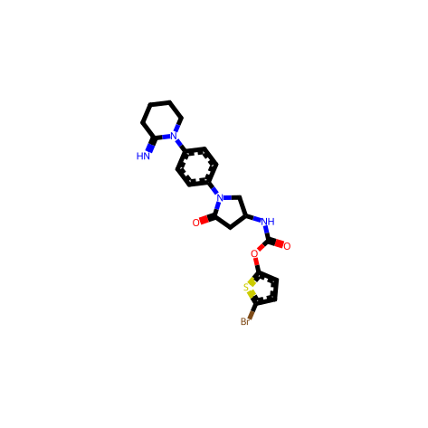 N=C1CCCCN1c1ccc(N2CC(NC(=O)Oc3ccc(Br)s3)CC2=O)cc1